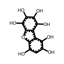 Oc1cc(O)c2oc3c(O)c(O)c(O)c(O)c3c2c1O